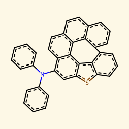 c1ccc(N(c2ccccc2)c2cc3sc4cccc5c4c3c3c2ccc2ccc4cccc-5c4c23)cc1